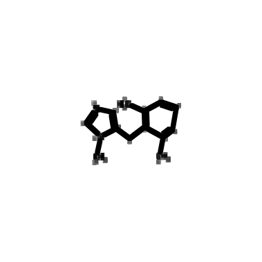 Cc1cccc(C)c1Cc1cncn1C